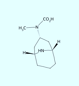 CN(C(=O)O)[C@H]1C[C@H]2CCC[C@@H](C1)N2